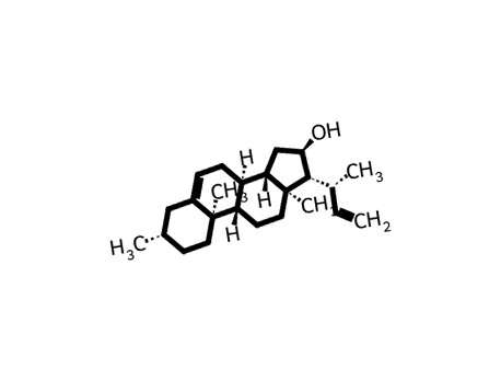 C=C[C@@H](C)[C@H]1[C@H](O)C[C@H]2[C@@H]3CC=C4C[C@@H](C)CC[C@]4(C)[C@H]3CC[C@]12C